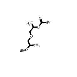 CC(C)COC(C)COCC(C)OC(=O)C(C)C